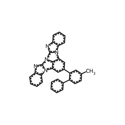 Cc1ccc(-c2ccccc2)c(-c2cc3c4c(c2)n2c5ccccc5nc2n4c2nc4ccccc4n32)c1